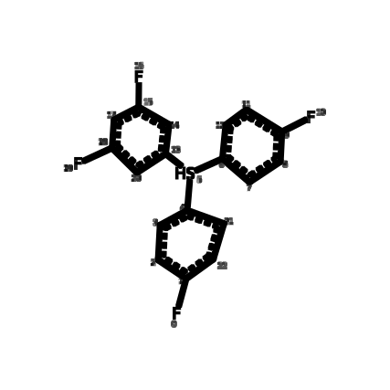 Fc1ccc([SH](c2ccc(F)cc2)c2cc(F)cc(F)c2)cc1